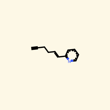 C#CCCC=Cc1ccccn1